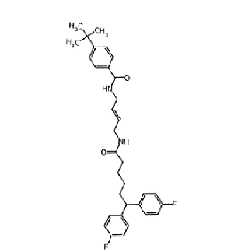 CC(C)(C)c1ccc(C(=O)NCC=CCNC(=O)CCCCC(c2ccc(F)cc2)c2ccc(F)cc2)cc1